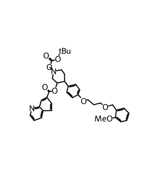 COc1ccccc1COCCCOc1ccc(C2CCN(OC(=O)OC(C)(C)C)CC2OC(=O)c2ccc3cccnc3c2)cc1